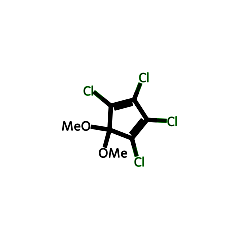 COC1(OC)C(Cl)=C(Cl)C(Cl)=C1Cl